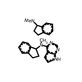 CN(c1ncnc2[nH]ccc12)C1CCc2ccccc21.CNC1CCc2ccccc21